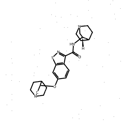 O=C(N[C@@H]1CN2CCC1CC2)c1nsc2cc(OC3CN4CCC3CC4)ccc12